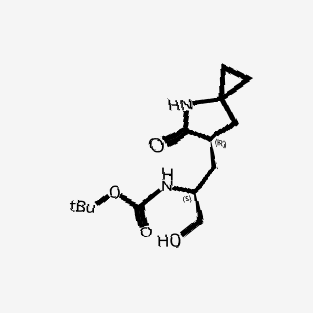 CC(C)(C)OC(=O)N[C@H](CO)C[C@@H]1CC2(CC2)NC1=O